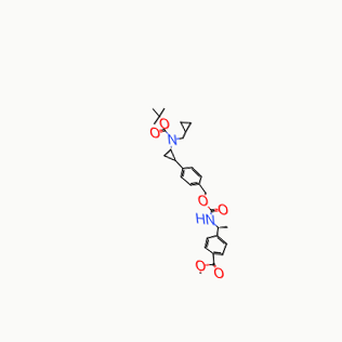 COC(=O)c1ccc([C@H](C)NC(=O)OCc2ccc(C3C[C@@H]3N(CC3CC3)C(=O)OC(C)(C)C)cc2)cc1